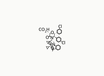 O=C(O)C[C@@H]1O[C@H](c2cccc(Cl)c2)[C@@H](c2ccc(Cl)cc2)N([C@H](CN(c2ccccc2F)S(=O)(=O)C2CC2)C2CC2)C1=O